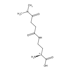 CN(C)C(=O)CCC(=O)NCC[C@H](N)C(=O)O